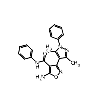 Cc1nn(-c2ccccc2)c(C)c1-c1noc(N)c1C(=O)Nc1ccccc1